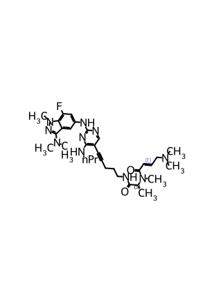 CCCNc1nc(Nc2cc(F)c3c(c2)c(N(C)C)nn3C)ncc1C#CCCCNC(=O)[C@H](C)N(C)C(=O)/C=C/CN(C)C